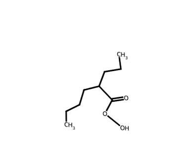 CCCCC(CCC)C(=O)OO